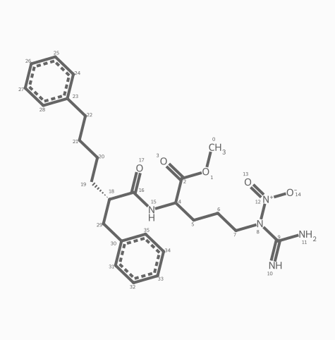 COC(=O)C(CCCN(C(=N)N)[N+](=O)[O-])NC(=O)[C@@H](CCCCc1ccccc1)Cc1ccccc1